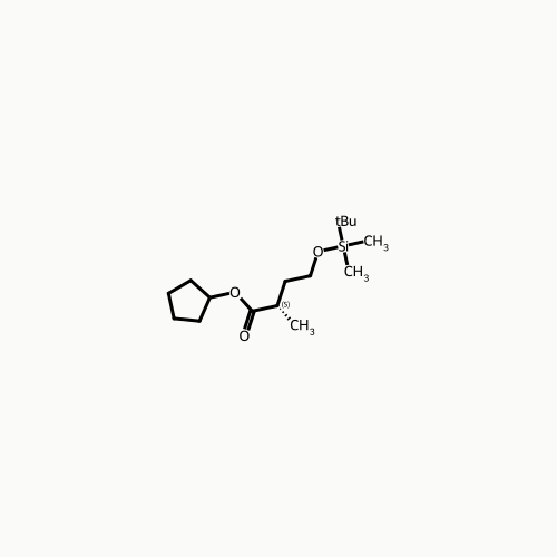 C[C@@H](CCO[Si](C)(C)C(C)(C)C)C(=O)OC1CCCC1